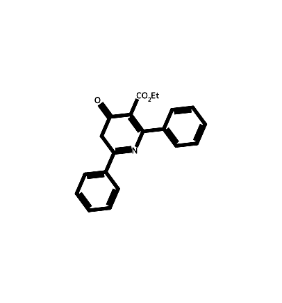 CCOC(=O)C1=C(c2ccccc2)N=C(c2ccccc2)CC1=O